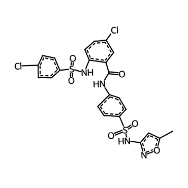 Cc1cc(NS(=O)(=O)c2ccc(NC(=O)c3cc(Cl)ccc3NS(=O)(=O)c3ccc(Cl)cc3)cc2)no1